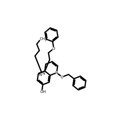 CCCCC1N=C2C=C(O)C=C3N(OCc4ccccc4)C=CCC32N1CCOc1ccccc1